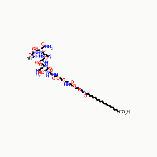 CCCNC(=O)[C@H](CO)NC(=O)[C@H](CCC(N)=O)NC(=O)[C@H](CCN(C)C)NC(=O)[C@H](CO)NC(=O)[C@H](CCC(N)=O)NC(=O)[C@@H](CO)NC(=O)CNC(=O)COCCOCCNC(=O)COCCOCCNC(=O)CCCCCCCCCCCCCCCCCCC(=O)O